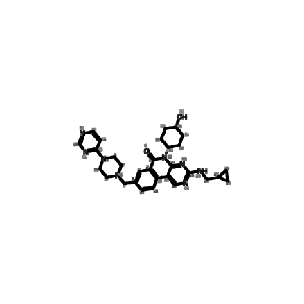 O=c1c2cc(CN3CCN(c4ccncn4)CC3)ccc2c2cnc(NCC3CC3)nc2n1[C@H]1CC[C@H](O)CC1